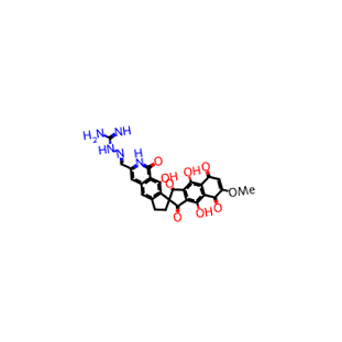 COC1=CC(=O)c2c(O)c3c(c(O)c2C1=O)C(=O)C1(CCc2cc4cc(/C=N/NC(=N)N)[nH]c(=O)c4c(O)c21)C3=O